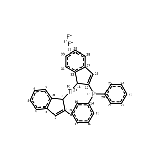 CC1=Cc2ccccc2[CH]1[Ti+2][CH]1C(P(c2ccccc2)c2ccccc2)=Cc2ccccc21.[F-].[F-]